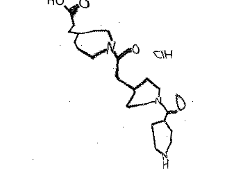 Cl.O=C(O)CC1CCN(C(=O)CC2CCN(C(=O)C3CCNCC3)CC2)CC1